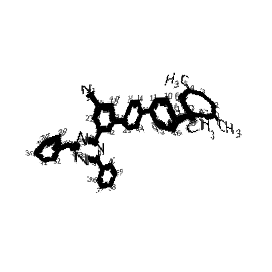 CC1CC[C@H](C)CC(C)(c2ccc(-c3ccc(-c4cc(C#N)cc(-c5nc(-c6ccccc6)nc(-c6ccccc6)n5)c4)cc3)cc2)C1